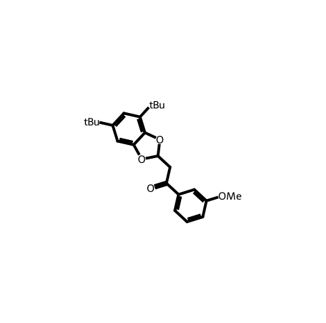 COc1cccc(C(=O)CC2Oc3cc(C(C)(C)C)cc(C(C)(C)C)c3O2)c1